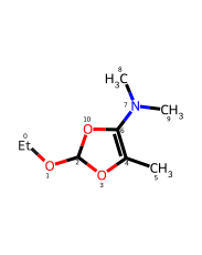 CCOC1OC(C)=C(N(C)C)O1